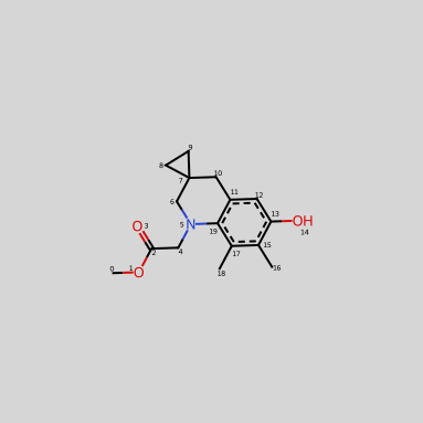 COC(=O)CN1CC2(CC2)Cc2cc(O)c(C)c(C)c21